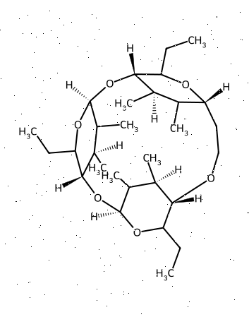 CCC1O[C@H]2O[C@@H]3C(CC)O[C@@H](O[C@@H]4C(CC)O[C@H](CCO[C@H]1[C@H](C)C2C)C(C)[C@H]4C)C(C)[C@H]3C